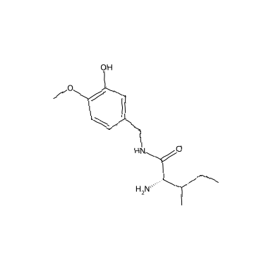 CCC(C)[C@H](N)C(=O)NCc1ccc(OC)c(O)c1